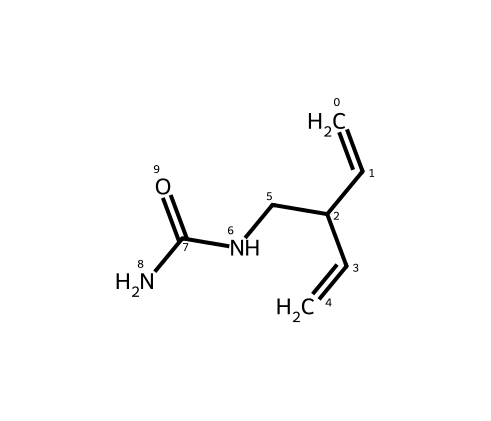 C=CC(C=C)CNC(N)=O